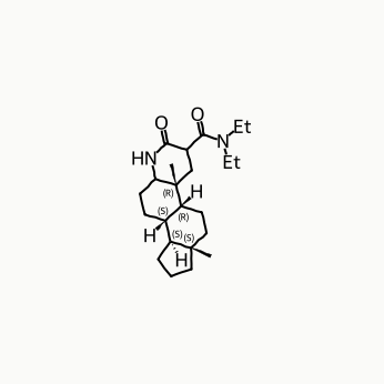 CCN(CC)C(=O)C1C[C@@]2(C)C(CC[C@@H]3[C@H]2CC[C@]2(C)CCC[C@@H]32)NC1=O